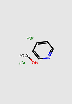 Br.Br.O=S(=O)(O)O.c1ccncc1